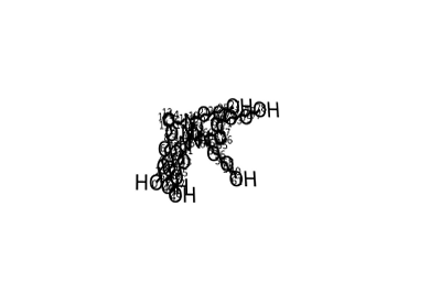 OCCOCCOCCOc1ccccc1CCN(CCOCCOCCO)c1nc(N(CCOCCOCCO)CCOCCOCCO)nc(N(CCOCCOCCO)Cc2ccccc2OCCOCCOCCO)n1